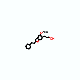 CCCCOc1cc2c(cc1CCCO)OC(CCc1ccccc1)C2